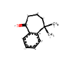 CC1(C)CCCC(=O)c2ccccc21